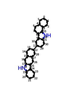 c1ccc2c(c1)ccc1c3cc(-c4ccc5cc6[nH]c7ccccc7c6cc5c4)ccc3[nH]c21